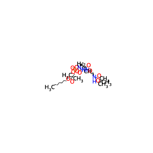 CCCCCCCOC(=O)C(C)(C)COS(=O)(=O)ON1C(=O)N(C)[C@@]2(C(=O)NOCCNC(=O)OC(C)(C)C)CC[C@@H]12